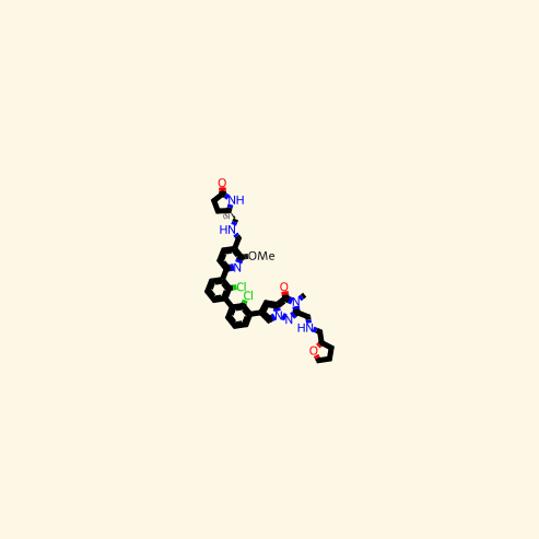 COc1nc(-c2cccc(-c3cccc(-c4cc5c(=O)n(C)c(CNCC6CCCO6)nn5c4)c3Cl)c2Cl)ccc1CNC[C@@H]1CCC(=O)N1